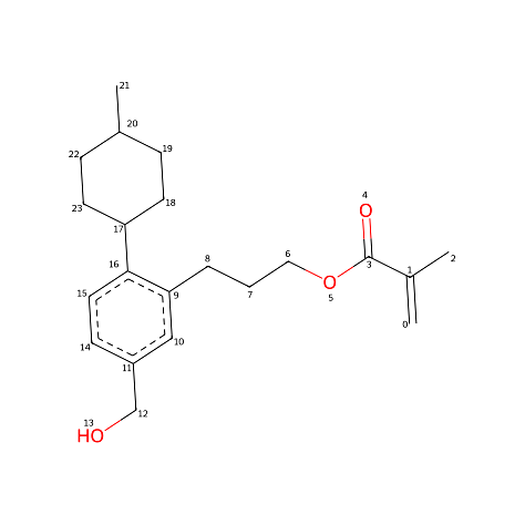 C=C(C)C(=O)OCCCc1cc(CO)ccc1C1CCC(C)CC1